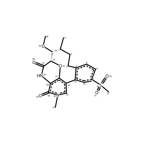 CCCCc1ccc(S(C)(=O)=O)cc1-c1cn(C)c(=O)c2c1O[C@@H](COC)C(=O)N2